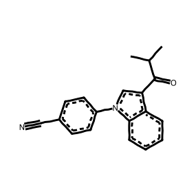 CC(C)C(=O)c1cn(-c2ccc(C#N)cc2)c2ccccc12